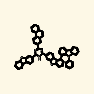 c1ccc(-n2c3ccccc3c3cccc(-c4cccc5oc6cc(C7=NC(c8ccc9c(ccc%10ccccc%109)c8)=NC(c8ccc9c(c8)oc8ccccc89)N7)ccc6c45)c32)cc1